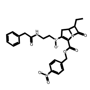 CCC1C(=O)N2C(C(=O)OCc3ccc([N+](=O)[O-])cc3)=C([S+]([O-])CCNC(=O)Cc3ccccc3)CC12